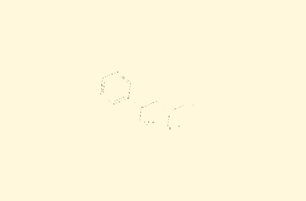 CCCCCP(CCCCC)CC(OC)c1ccccc1